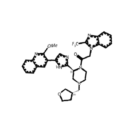 COc1nc2ccccc2cc1-c1cnc([C@@H]2CN(C[C@@H]3CCOC3)CCN2C(=O)Cn2c(C(F)(F)F)nc3ccccc32)[nH]1